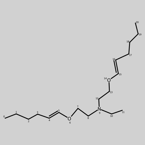 CCCCC=COCCN(CC)CCOC=CCCCC